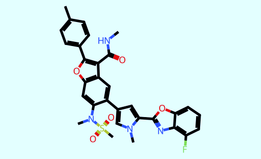 CNC(=O)c1c(-c2ccc(C)cc2)oc2cc(N(C)S(C)(=O)=O)c(-c3cc(-c4nc5c(F)cccc5o4)n(C)c3)cc12